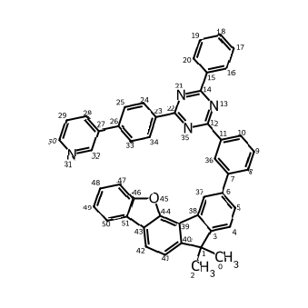 CC1(C)c2ccc(-c3cccc(-c4nc(-c5ccccc5)nc(-c5ccc(-c6cccnc6)cc5)n4)c3)cc2-c2c1ccc1c2oc2ccccc21